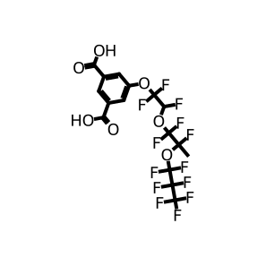 CC(F)(OC(F)(F)C(F)(F)C(F)(F)F)C(F)(F)OC(F)C(F)(F)Oc1cc(C(=O)O)cc(C(=O)O)c1